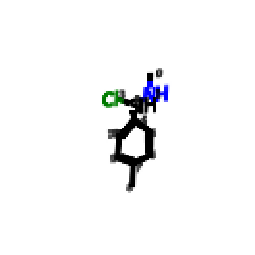 CN[SiH](Cl)c1ccc(C)cc1